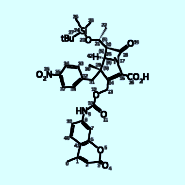 Cc1cc(=O)oc2cc(NC(=O)OCC3=C(C(=O)O)N4C(=O)[C@H]([C@@H](C)O[Si](C)(C)C(C)(C)C)[C@@H]4[C@@]3(C)Cc3ccc([N+](=O)[O-])cc3)ccc12